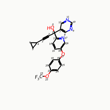 OC(C#CC1CC1)(c1cncnc1)c1ccc(Oc2ccc(OC(F)(F)F)cc2)cn1